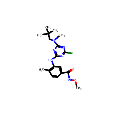 CONC(=O)c1ccc(C)c(Nc2nc(F)nc(N(C)CC(C)(C)C)n2)c1